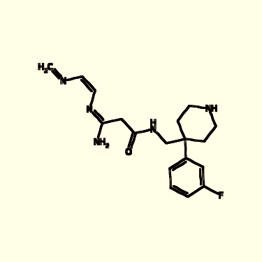 C=N/C=C\N=C(\N)CC(=O)NCC1(c2cccc(F)c2)CCNCC1